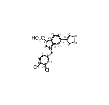 O=C(O)c1cn(Cc2ccc(Cl)c(Cl)c2)c2cc(C3=CCCC3)ccc12